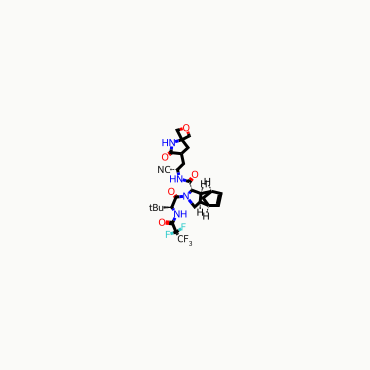 CC(C)(C)[C@H](NC(=O)C(F)(F)C(F)(F)F)C(=O)N1C[C@H]2[C@@H]([C@H]1C(=O)N[C@H](C#N)CC1CC3(COC3)NC1=O)[C@H]1C=C[C@@H]2C1